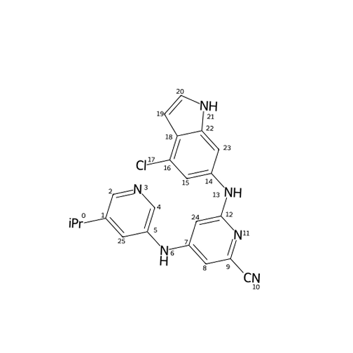 CC(C)c1cncc(Nc2cc(C#N)nc(Nc3cc(Cl)c4cc[nH]c4c3)c2)c1